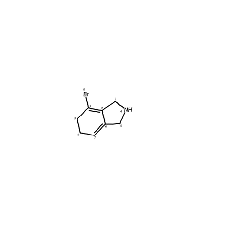 BrC1=C2CNCC2=CCC1